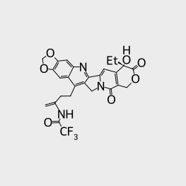 C=C(CCc1c2c(nc3cc4c(cc13)OCO4)-c1cc3c(c(=O)n1C2)COC(=O)[C@]3(O)CC)NC(=O)C(F)(F)F